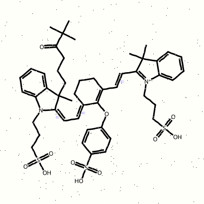 CC(C)(C)C(=O)CCCC1(C)/C(=C\C=C2/CCCC(/C=C/C3=[N+](CCCS(=O)(=O)O)c4ccccc4C3(C)C)=C2Oc2ccc(S(=O)(=O)O)cc2)N(CCCS(=O)(=O)O)c2ccccc21